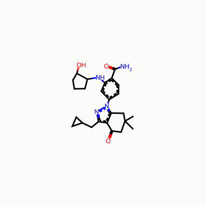 CC1(C)CC(=O)c2c(CC3CC3)nn(-c3ccc(C(N)=O)c(NC4CCCC4O)c3)c2C1